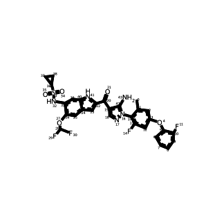 Cc1cc(Oc2ccccc2F)cc(F)c1-n1ncc(C(=O)c2cc3cc(OC(F)F)c(NS(=O)(=O)C4CC4)cc3[nH]2)c1N